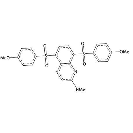 CNc1cnc2c(S(=O)(=O)c3ccc(OC)cc3)ccc(S(=O)(=O)c3ccc(OC)cc3)c2n1